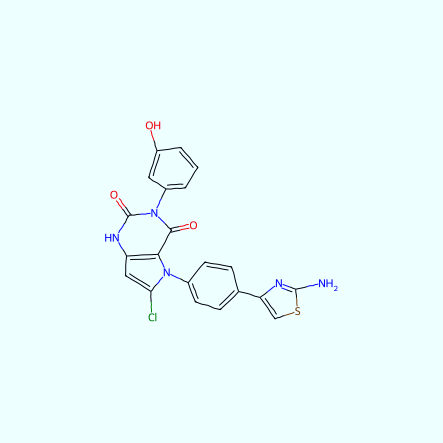 Nc1nc(-c2ccc(-n3c(Cl)cc4[nH]c(=O)n(-c5cccc(O)c5)c(=O)c43)cc2)cs1